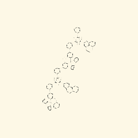 C1=Cc2cc(-c3nc(-c4ccccc4)nc(-c4cccc(-c5ccc6c(c5)Oc5cc(-c7cccc(-c8nc(-c9cccc(-c%10ccc%11c(c%10)Oc%10ccccc%10C%11%10c%11ccccc%11-c%11ccccc%11%10)c9)nc(-c9ccc%10c(ccc%11ccccc%11%10)c9)n8)c7)ccc5C65c6ccccc6-c6ccccc65)c4)n3)cc3cccc(c23)C1